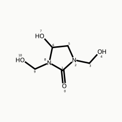 O=C1N(CO)CC(O)N1CO